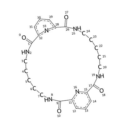 O=C1NCCCCCNC(=O)c2cccc(n2)C(=O)NCCCCCNC(=O)c2cccc1n2